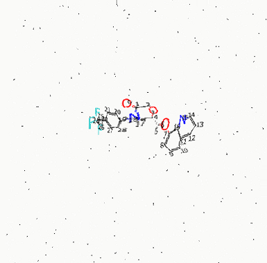 O=C1CO[C@H](COc2cccc3cccnc23)CN1c1ccc(C(F)(F)F)cc1